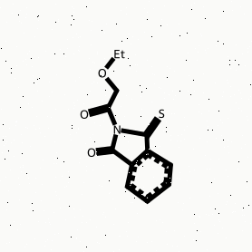 CCOCC(=O)N1C(=O)c2ccccc2C1=S